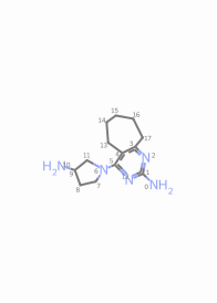 Nc1nc2c(c(N3CCC(N)C3)n1)CCCCC2